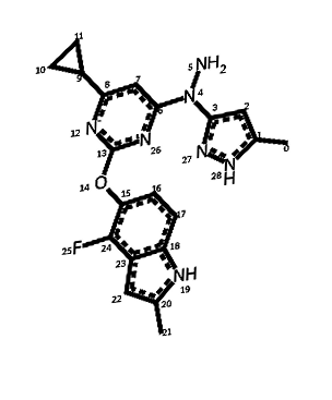 Cc1cc(N(N)c2cc(C3CC3)nc(Oc3ccc4[nH]c(C)cc4c3F)n2)n[nH]1